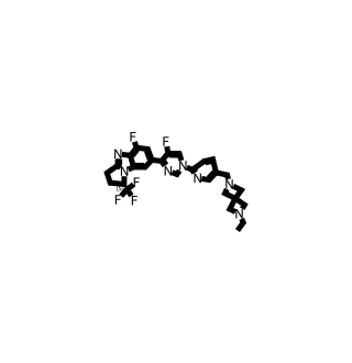 CCN1CC2(C1)CN(Cc1ccc(N3C=C(F)C(c4cc(F)c5nc6n(c5c4)[C@H](C(F)(F)F)CC6)=NC3)nc1)C2